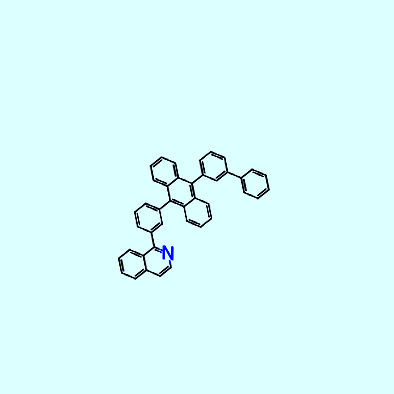 c1ccc(-c2cccc(-c3c4ccccc4c(-c4cccc(-c5nccc6ccccc56)c4)c4ccccc34)c2)cc1